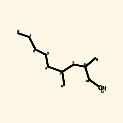 CCCCCC(C)CC(C)CO